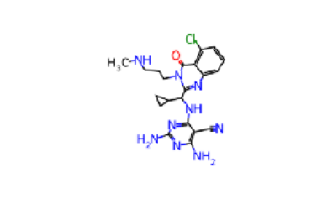 CNCCCn1c(C(Nc2nc(N)nc(N)c2C#N)C2CC2)nc2cccc(Cl)c2c1=O